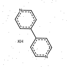 [KH].c1cc(-c2ccncc2)ccn1